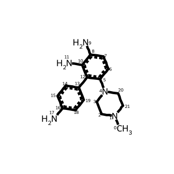 CN1CCN(c2ccc(N)c(N)c2-c2ccc(N)cc2)CC1